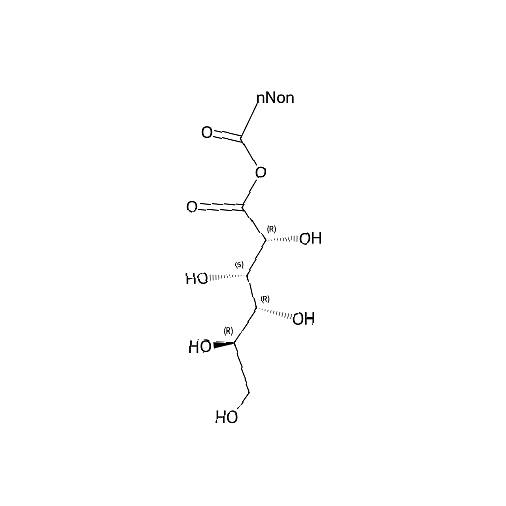 CCCCCCCCCC(=O)OC(=O)[C@H](O)[C@@H](O)[C@H](O)[C@H](O)CO